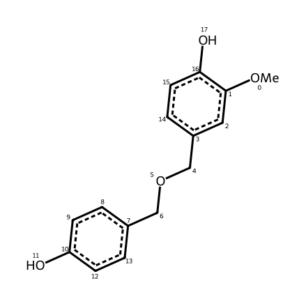 COc1cc(COCc2ccc(O)cc2)ccc1O